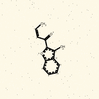 C/C=C\C(=O)c1oc2ccccc2c1O